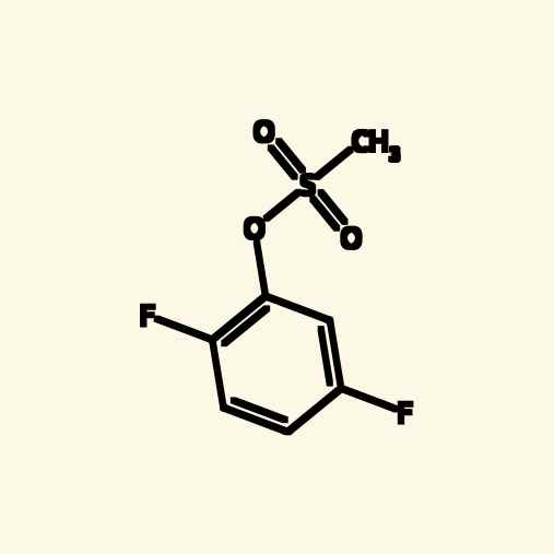 CS(=O)(=O)Oc1cc(F)ccc1F